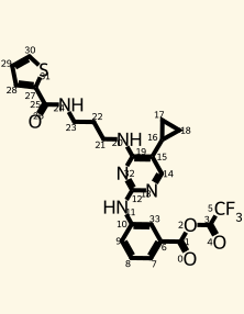 O=C(OC(=O)C(F)(F)F)c1cccc(Nc2ncc(C3CC3)c(NCCCNC(=O)c3cccs3)n2)c1